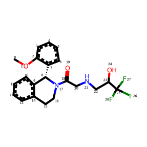 COc1ccccc1[C@H]1c2ccccc2CCN1C(=O)CNCC(O)C(F)(F)F